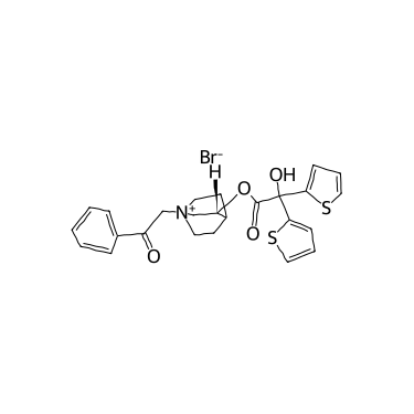 O=C(C[N+]12CCC(CC1)[C@@H](OC(=O)C(O)(c1cccs1)c1cccs1)C2)c1ccccc1.[Br-]